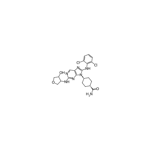 NC(=O)[C@H]1CC[C@@H](n2c(Nc3c(Cl)cccc3Cl)nc3cnc(NC4COCC4O)nc32)CC1